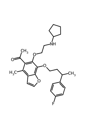 CC(=O)c1c(OCCNC2CCCC2)c(OCCC(C)c2ccc(F)cc2)c2occc2c1C